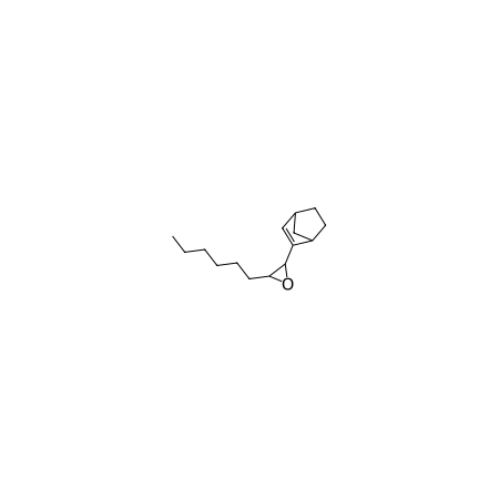 CCCCCCC1OC1C1=CC2CCC1C2